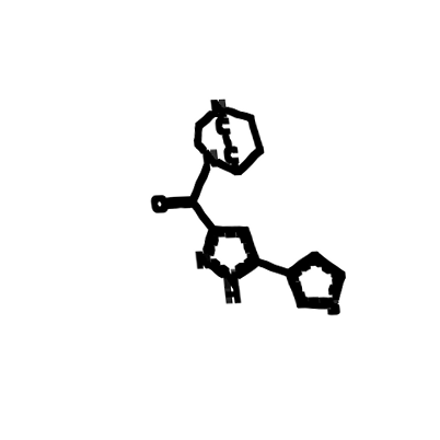 O=C(c1cc(-c2ccsc2)[nH]n1)N1CCN2CCC1CC2